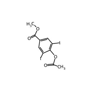 COC(=O)c1cc(I)c(OC(C)=O)c(I)c1